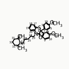 COc1ccc(C2(c3cccc(OC)c3)Sc3ccccc3N(CCCCCN3C(C)CCCC3C)C2=O)cc1